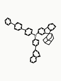 c1ccc(-c2ccc(-c3ccc(N(c4ccc(-c5ccc6ccccc6c5)cc4)c4ccc5c(c4)C4(c6ccccc6-5)C5CC6CC(C5)CC4C6)cc3)cc2)cc1